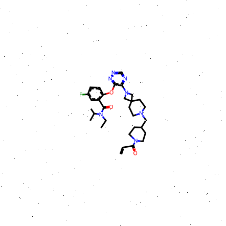 C=CC(=O)N1CCC(CN2CCC3(CC2)CN(c2ncnnc2Oc2ccc(F)cc2C(=O)N(CC)C(C)C)C3)CC1